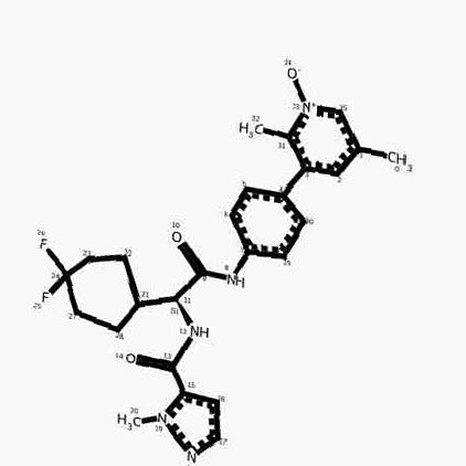 Cc1cc(-c2ccc(NC(=O)[C@@H](NC(=O)c3ccnn3C)C3CCC(F)(F)CC3)cc2)c(C)[n+]([O-])c1